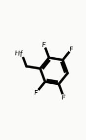 Fc1cc(F)c(F)c([CH2][Hf])c1F